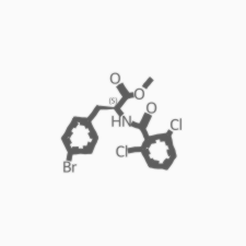 COC(=O)[C@H](Cc1ccc(Br)cc1)NC(=O)c1c(Cl)cccc1Cl